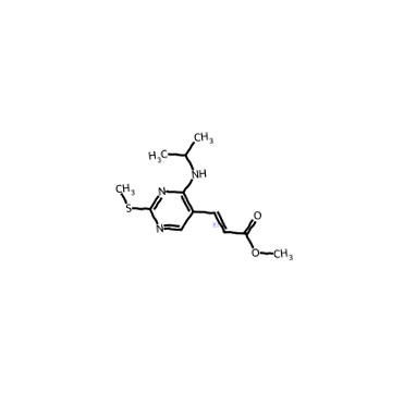 COC(=O)/C=C/c1cnc(SC)nc1NC(C)C